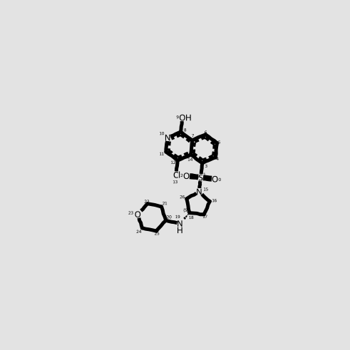 O=S(=O)(c1cccc2c(O)ncc(Cl)c12)N1CC[C@H](NC2CCOCC2)C1